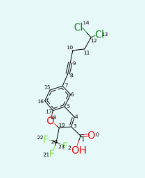 O=C(O)C1=Cc2cc(C#CCCC(Cl)Cl)ccc2OC1C(F)(F)F